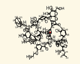 CNCCOc1cc(OCCNC)cc(C(=O)NC(=O)C[C@@H]2NC(=O)[C@H](NC(=O)[C@@H](CC(C)C)NC)[C@H](O)c3ccc(c(Cl)c3)Oc3cc4cc(c3O[C@@H]3O[C@H](CO)[C@@H](O)[C@H](O)[C@H]3O)Oc3ccc(cc3Cl)[C@@H](O)[C@@H]3NC(=O)[C@H](NC(=O)[C@@H]4NC2=O)c2ccc(O)c(c2)-c2c(O)cc(O)cc2[C@@H](C(=O)NC2C4CC5CC(C4)CC2C5)NC3=O)c1